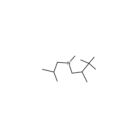 CC(C)CN(C)CC(C)C(C)(C)C